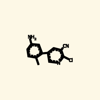 Cc1ccc(N)cc1-c1cnc(Cl)c(C#N)c1